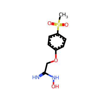 CS(=O)(=O)c1ccc(OCC(=N)NO)cc1